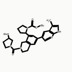 COC1CCN(C(=O)N2CCc3cc(-c4cnc5[nH]cc(C)c5c4)cc(C4CCCN4C(=O)OC(C)(C)C)c3C2)C1